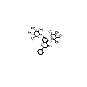 CC1O[C@@H](Oc2cc(O[C@@H]3OC(C)[C@H](O)[C@H](O)C3O)cc3oc(-c4ccccc4)cc(=O)c23)C(O)C(CO)[C@H]1O